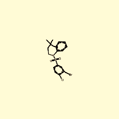 CC1(C)CCN(S(=O)(=O)c2ccc(Cl)c(Br)c2)c2ccccc21